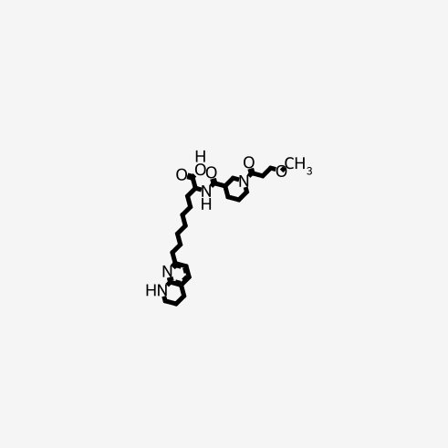 COCCC(=O)N1CCCC(C(=O)NC(CCCCCCCc2ccc3c(n2)NCCC3)C(=O)O)C1